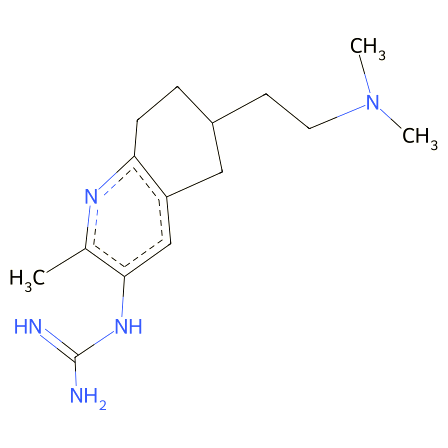 Cc1nc2c(cc1NC(=N)N)CC(CCN(C)C)CC2